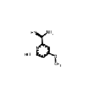 COc1ccnc(C(=N)N)c1.Cl